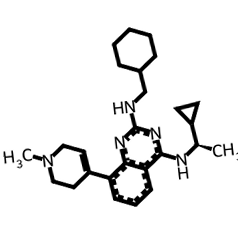 C[C@@H](Nc1nc(NCC2CCCCC2)nc2c(C3=CCN(C)CC3)cccc12)C1CC1